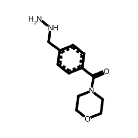 NNCc1ccc(C(=O)N2CCOCC2)cc1